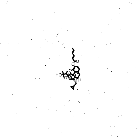 C/C=C/C=C/C(=O)Oc1ccc2c3c1O[C@@H]1[C@]34CC3(C[C@@]1(OC)C(C)C(C)(C)O)N(CC1CC1)[C@H](C2)[C@]34C